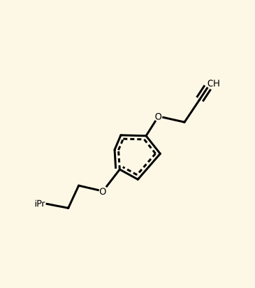 C#CCOc1ccc(OCCC(C)C)cc1